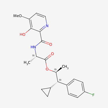 COc1ccnc(C(=O)N[C@@H](C)C(=O)O[C@@H](C)[C@H](c2ccc(F)cc2)C2CC2)c1O